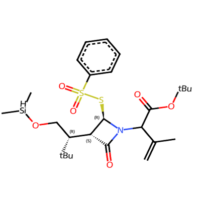 C=C(C)C(C(=O)OC(C)(C)C)N1C(=O)[C@H]([C@@H](CO[SiH](C)C)C(C)(C)C)[C@H]1SS(=O)(=O)c1ccccc1